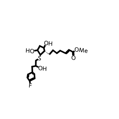 COC(=O)C=CCCCC[C@H]1C(O)CC(O)[C@@H]1SCC(O)Cc1ccc(F)cc1